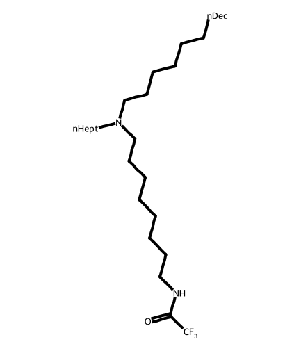 CCCCCCCCCCCCCCCCN(CCCCCCC)CCCCCCCCNC(=O)C(F)(F)F